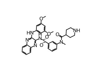 COc1cc(Nc2nc3ccccc3nc2NS(=O)(=O)c2cccc(N(C)C(=O)C3CCNCC3)c2)cc(OC)c1